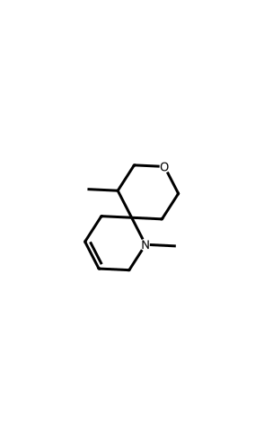 CC1COCCC12CC=CCN2C